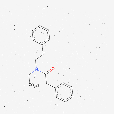 CCOC(=O)CN(CCc1ccccc1)C(=O)Cc1ccccc1